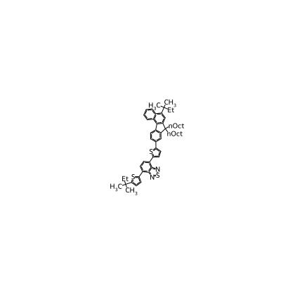 CCCCCCCCC1(CCCCCCCC)c2cc(-c3ccc(-c4ccc(-c5ccc(C(C)(C)CC)s5)c5nsnc45)s3)ccc2-c2c1cc(C(C)(C)CC)c1ccccc21